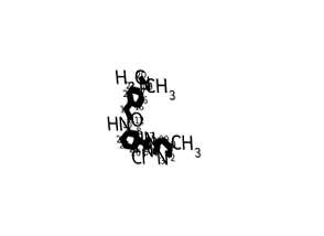 Cc1cnc2nc(-c3cc(NC(=O)Cc4ccc(N(C)C)cc4)ccc3Cl)[nH]c2c1